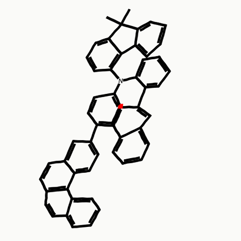 CC1(C)c2ccccc2-c2c(N(c3ccc(-c4ccc5c(ccc6ccc7ccccc7c65)c4)cc3)c3ccccc3-c3ccc4ccccc4c3)cccc21